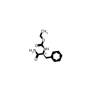 CCOC(=O)N[C@@H](Cc1ccccc1)C(N)=O